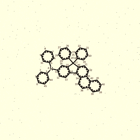 c1ccc(N(c2ccccc2)c2ccc3c(c2)C(c2ccccc2)(c2ccccc2)c2ccc4c(ccc5ccccc54)c2-3)cc1